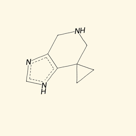 c1nc2c([nH]1)C1(CC1)CNC2